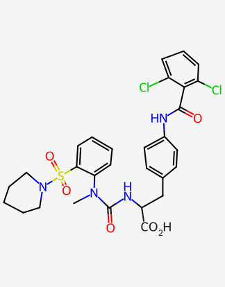 CN(C(=O)NC(Cc1ccc(NC(=O)c2c(Cl)cccc2Cl)cc1)C(=O)O)c1ccccc1S(=O)(=O)N1CCCCC1